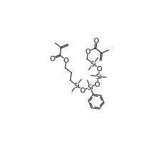 C=C(C)C(=O)OCCC[Si](C)(C)O[Si](C)(O[Si](C)(C)O[Si](C)(C)COC(=O)C(=C)C)c1ccccc1